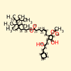 CCC(C)C(CC)C(CC)C(CC)C(CC)CCCCOC(=O)CCC/C=C\C[C@@H]1[C@@H](CC[C@@H](O)CCc2ccccc2)[C@H](O)C[C@@H]1OC(C)=O